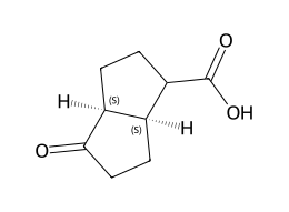 O=C(O)C1CC[C@@H]2C(=O)CC[C@H]12